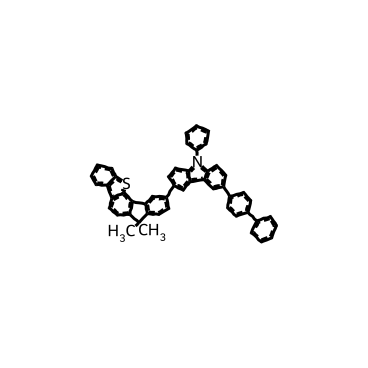 CC1(C)c2ccc(-c3ccc4c(c3)c3cc(-c5ccc(-c6ccccc6)cc5)ccc3n4-c3ccccc3)cc2-c2c1ccc1c2sc2ccccc21